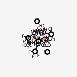 Cc1nc([C@H]2O[C@@H]3CO[C@H](c4ccccc4)O[C@@H]3[C@@H](n3cc(-c4cc(F)c(F)c(F)c4)nn3)[C@@H]2C(CCCNC(=O)O)(NC(=O)O)[C@H]2[C@H](c3nc(C)nn3-c3cc(Cl)ccc3Cl)OC3CO[C@H](c4ccccc4)OC3[C@@H]2n2cc(-c3cc(F)c(F)c(F)c3)nn2)n(-c2cc(Cl)ccc2Cl)n1